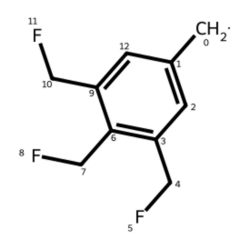 [CH2]c1cc(CF)c(CF)c(CF)c1